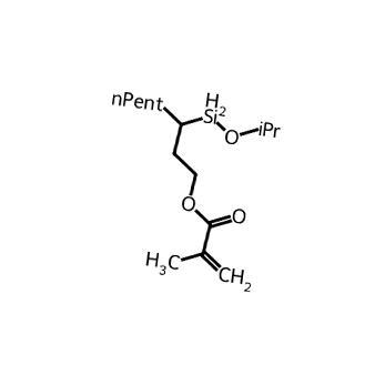 C=C(C)C(=O)OCCC(CCCCC)[SiH2]OC(C)C